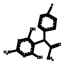 NC(=O)C(c1ccc(F)cc1)c1c(O)nc(N)nc1O